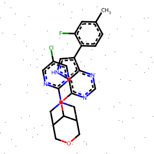 Cc1ccc(-c2c[nH]c3c(OC4C5COCC4CN(c4ncc(Cl)cn4)C5)ncnc23)c(F)c1